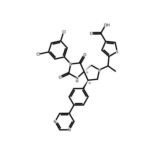 CC(c1cc(C(=O)O)cs1)N1C[C@@H](c2ccc(-c3cncnc3)cc2)[C@@]2(C1)NC(=O)N(c1cc(Cl)cc(Cl)c1)C2=O